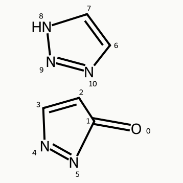 O=C1C=CN=N1.c1c[nH]nn1